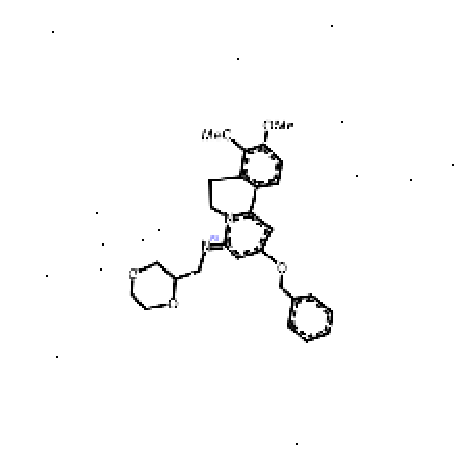 COc1ccc2c(c1OC)CCn1c-2cc(OCc2ccccc2)c/c1=N\CC1COCCO1